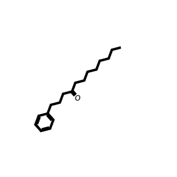 CCCCCCCCC(=O)CCCc1ccccc1